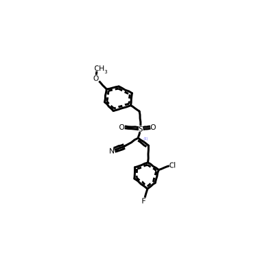 COc1ccc(CS(=O)(=O)/C(C#N)=C/c2ccc(F)cc2Cl)cc1